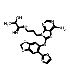 CC(O)C(=N)NCCCn1c(Sc2cc3c(cc2-c2nccs2)OCO3)nc2c(N)ncnc21